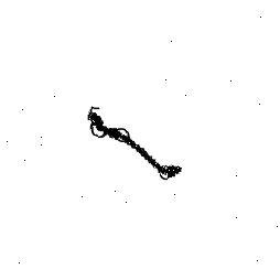 C=C(C)c1ccc(OCCCCCCCCCCCCCCCCCCOc2ccc(C=CC(=O)c3ccc(F)cc3)cc2)cc1